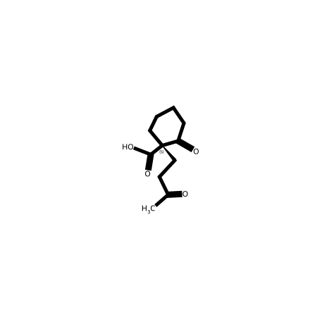 CC(=O)CC[C@@]1(C(=O)O)CCCCC1=O